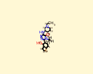 [2H]C([2H])([2H])n1c(-c2ccc3sccc3c2O)nnc(N[C@@H]2CCCN(CC)C2)c1=O